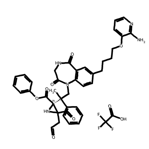 CC(CN1C(=O)CNC(=O)c2cc(CCCCOc3cccnc3N)ccc21)(c1ccccc1)[C@@]1(C(=O)Oc2ccccc2)NC1(C=O)CC=O.O=C(O)C(F)(F)F